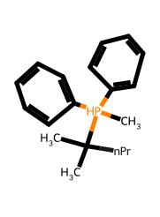 CCCC(C)(C)[PH](C)(c1ccccc1)c1ccccc1